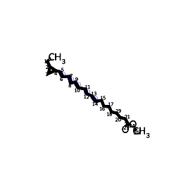 CCC1CC1/C=C/C=C/C=C/C=C/C=C/CCCCCCCC(=O)OC